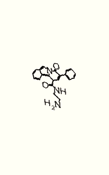 NCCNC(=O)C1C=C(c2ccccc2)C(=O)n2cc3ccccc3c21